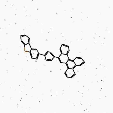 c1ccc2c(c1)sc1ccc(-c3ccc(-c4cc5c6ccccc6c6ccccc6c5c5ccccc45)cc3)cc12